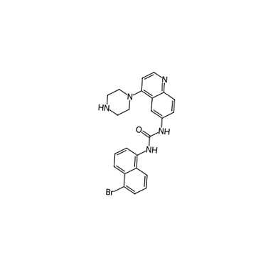 O=C(Nc1ccc2nccc(N3CCNCC3)c2c1)Nc1cccc2c(Br)cccc12